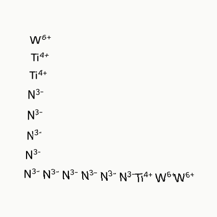 [N-3].[N-3].[N-3].[N-3].[N-3].[N-3].[N-3].[N-3].[N-3].[N-3].[Ti+4].[Ti+4].[Ti+4].[W+6].[W+6].[W+6]